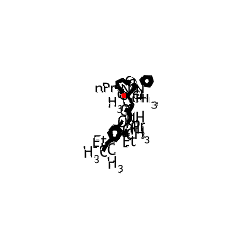 CCCC(NC(=O)CC(C)(C)C(=O)C(Cl)(C(=O)Nc1ccccc1)N1C(=O)CCC(CCC)C1=O)Oc1ccc(C(C)(C)CC)cc1C(C)(C)CC